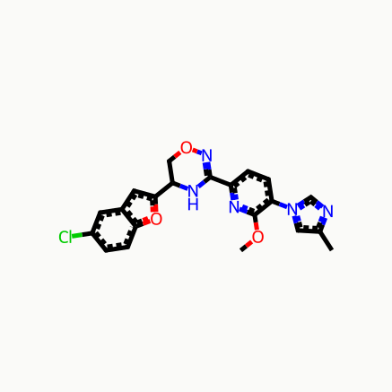 COc1nc(C2=NOCC(c3cc4cc(Cl)ccc4o3)N2)ccc1-n1cnc(C)c1